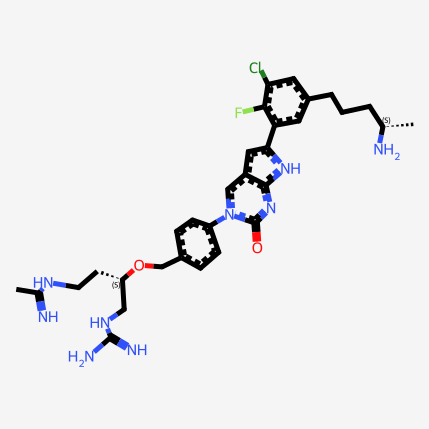 CC(=N)NCC[C@@H](CNC(=N)N)OCc1ccc(-n2cc3cc(-c4cc(CCC[C@H](C)N)cc(Cl)c4F)[nH]c3nc2=O)cc1